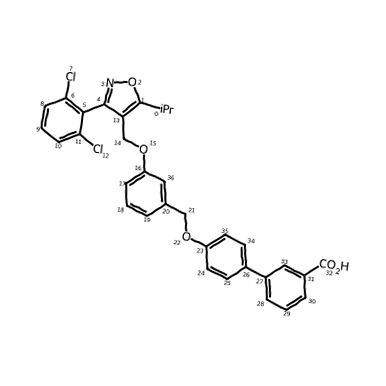 CC(C)c1onc(-c2c(Cl)cccc2Cl)c1COc1cccc(COc2ccc(-c3cccc(C(=O)O)c3)cc2)c1